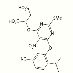 CSc1nc(Oc2cc(C#N)ccc2N(C)C)c([N+](=O)[O-])c(OC(CC(=O)O)C(=O)O)n1